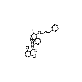 Cc1cnc2c(NC(=O)c3c(Cl)cccc3Cl)cccc2c1OC/C=C/c1ccccc1